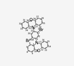 Brc1cc(N2c3ccccc3Oc3ccccc32)c(Br)cc1N1c2ccccc2Oc2ccccc21